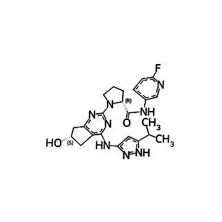 CC(C)c1cc(Nc2nc(N3CCC[C@@H]3C(=O)Nc3ccc(F)nc3)nc3c2C[C@H](O)C3)n[nH]1